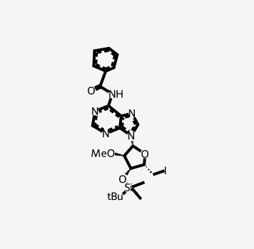 CO[C@@H]1[C@H](O[Si](C)(C)C(C)(C)C)[C@@H](CI)O[C@H]1n1cnc2c(NC(=O)c3ccccc3)ncnc21